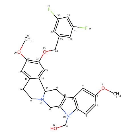 COc1ccc2c(c1)c1c(n2CO)CN2CCc3cc(OC)c(OCc4cc(F)cc(F)c4)cc3C2C1